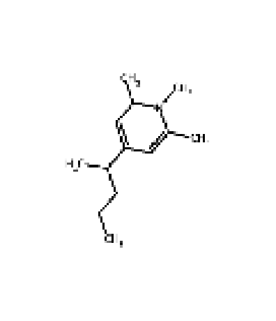 CCCC(C)C1=CC(C)N(C)C(C)=C1